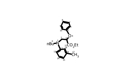 CCCCN(CC(Oc1ccccc1)C(=O)OCC)c1cccc(C)c1